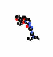 COc1cc(C)c(S(=O)(=O)N(C)CCC(=O)Nc2ccc(N3CCC(N(C)C)CC3)cn2)c(C)c1